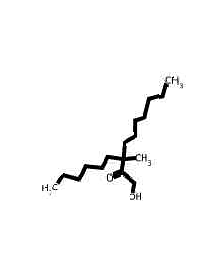 CCCCCCCC(C)(CCCCCC)C(=O)CO